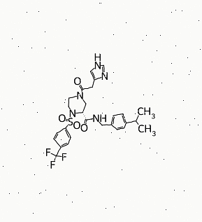 CC(C)c1ccc(CNC(=O)[C@H]2CN(C(=O)Cc3c[nH]cn3)CCN2S(=O)(=O)c2ccc(C(F)(F)F)cc2)cc1